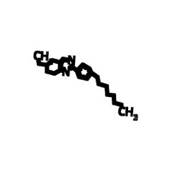 CCCCCCCCc1ccc(-c2ncc3c(n2)CCC(CC)C3)cc1